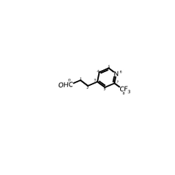 O=CCCc1ccnc(C(F)(F)F)c1